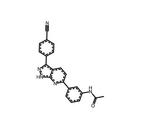 CC(=O)Nc1cccc(-c2ccc3c(-c4ccc(C#N)cc4)n[nH]c3n2)c1